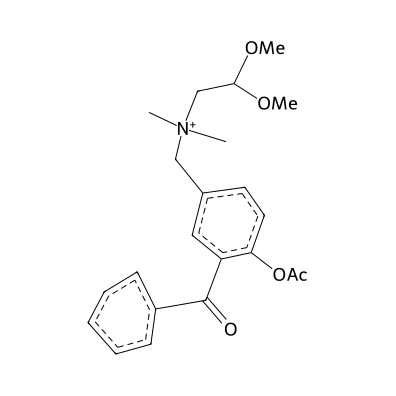 COC(C[N+](C)(C)Cc1ccc(OC(C)=O)c(C(=O)c2ccccc2)c1)OC